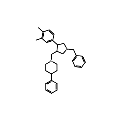 Cc1ccc(C2CN(Cc3ccccc3)CC2CN2CCC(c3ccccc3)CC2)cc1C